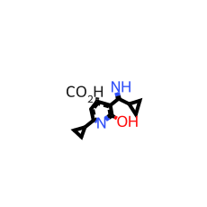 N=C(c1c(C(=O)O)cc(C2CC2)nc1O)C1CC1